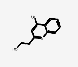 Nc1cc(CCO)nc2ccccc12